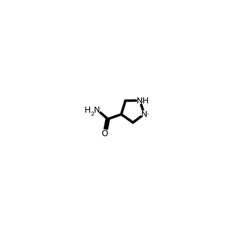 NC(=O)C1C[N]NC1